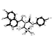 CC(c1c[nH]c(=O)c2c(F)c(F)ccc12)N(C(=O)Nc1ccc(F)cc1)C(C)S(N)(=O)=O